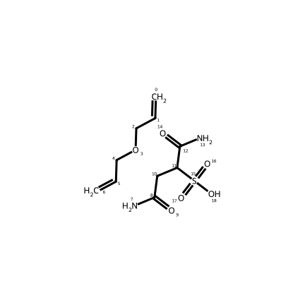 C=CCOCC=C.NC(=O)CC(C(N)=O)S(=O)(=O)O